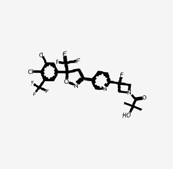 CC(C)(O)C(=O)N1CC(F)(c2ccc(C3=NOC(c4cc(Cl)c(Cl)c(C(F)(F)F)c4)(C(F)(F)F)C3)cn2)C1